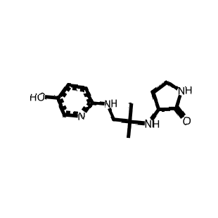 CC(C)(CNc1ccc(O)cn1)NC1CCNC1=O